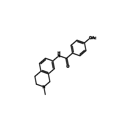 CC(=O)Oc1ccc(C(=O)Nc2ccc3c(c2)CN(C)CC3)cc1